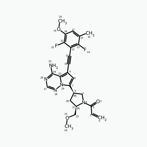 C=CC(=O)N1C[C@H](c2cc(C#Cc3c(F)c(C)cc(OC)c3F)c3c(N)ncnn23)C[C@@H]1COC